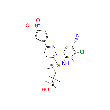 Cc1c(N[C@@H](C2=NN=C(c3ccc([N+](=O)[O-])cc3)CC2)[C@H](C)CC(C)(C)[Si](C)(C)O)ccc(C#N)c1Cl